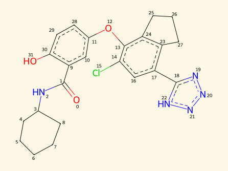 O=C(NC1CCCCC1)c1cc(Oc2c(Cl)cc(-c3nnn[nH]3)c3c2CCC3)ccc1O